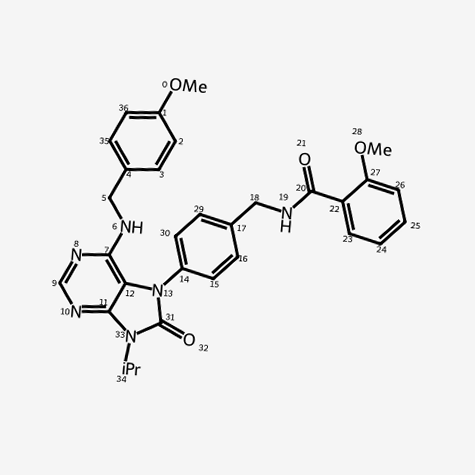 COc1ccc(CNc2ncnc3c2n(-c2ccc(CNC(=O)c4ccccc4OC)cc2)c(=O)n3C(C)C)cc1